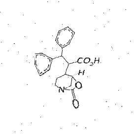 O=C(O)C(C(c1ccccc1)c1ccccc1)C1CCN2C[C@@H]1OC2=O